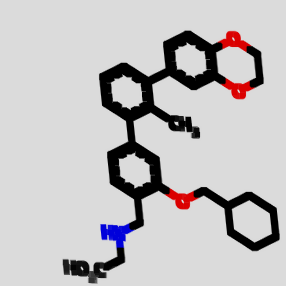 Cc1c(-c2ccc(CNCC(=O)O)c(OCC3CCCCC3)c2)cccc1-c1ccc2c(c1)OCCO2